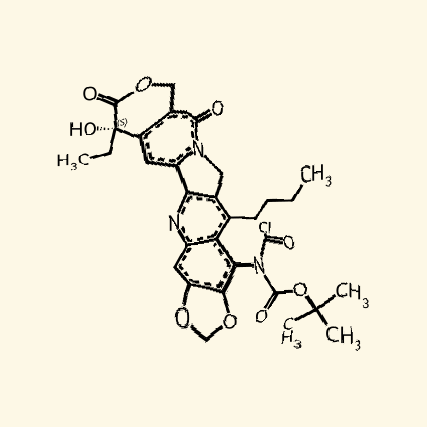 CCCCc1c2c(nc3cc4c(c(N(C(=O)Cl)C(=O)OC(C)(C)C)c13)OCO4)-c1cc3c(c(=O)n1C2)COC(=O)[C@]3(O)CC